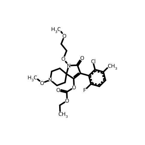 CCOC(=O)OC1=C(c2c(F)ccc(C)c2Cl)C(=O)N(OCCOC)C12CCN(OC)CC2